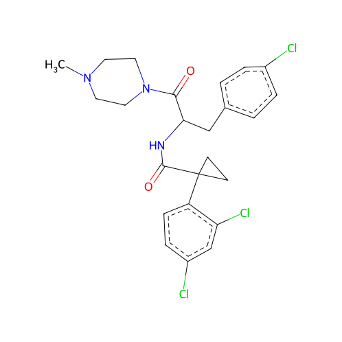 CN1CCN(C(=O)C(Cc2ccc(Cl)cc2)NC(=O)C2(c3ccc(Cl)cc3Cl)CC2)CC1